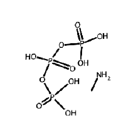 CN.O=P(O)(O)OP(=O)(O)OP(=O)(O)O